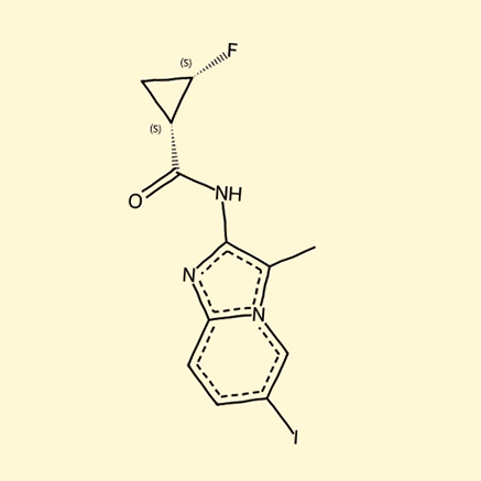 Cc1c(NC(=O)[C@@H]2C[C@@H]2F)nc2ccc(I)cn12